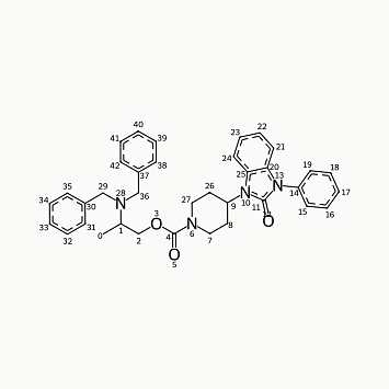 CC(COC(=O)N1CCC(n2c(=O)n(-c3ccccc3)c3ccccc32)CC1)N(Cc1ccccc1)Cc1ccccc1